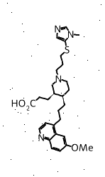 COc1ccc2nccc(CCC[C@@H]3CCN(CCCSc4cncn4C)C[C@@H]3CCC(=O)O)c2c1